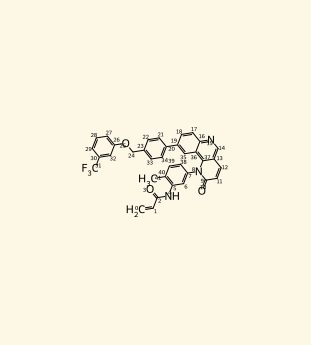 C=CC(=O)Nc1cc(-n2c(=O)ccc3cnc4ccc(-c5ccc(COc6cccc(C(F)(F)F)c6)cc5)cc4c32)ccc1C